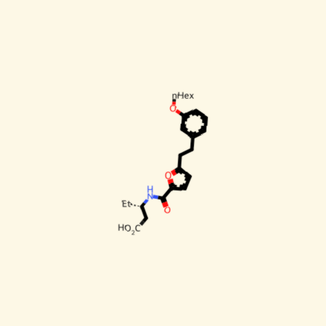 CCCCCCOc1cccc(CCc2ccc(C(=O)N[C@@H](CC)CC(=O)O)o2)c1